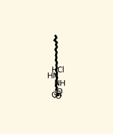 CCCCCCCCCCCCCCCCNCCNCCC[Si](OC)(OC)OC.Cl